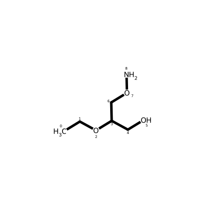 CCOC(CO)CON